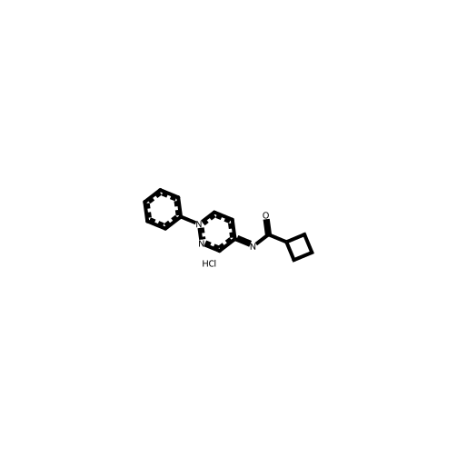 Cl.O=C(/N=c1\ccn(-c2ccccc2)nc1)C1CCC1